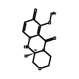 CCCOc1c2n(ccc1=O)N[C@@H]1COCCN1C2=O